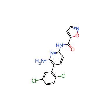 Nc1nc(NC(=O)c2ccno2)ccc1-c1cc(Cl)ccc1Cl